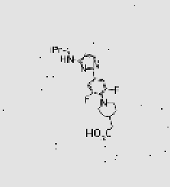 CC(C)CNc1ccnc(-c2cc(F)c(N3CCC(CC(=O)O)CC3)c(F)c2)n1